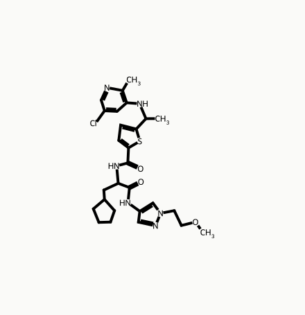 COCCn1cc(NC(=O)C(CC2CCCC2)NC(=O)c2ccc(C(C)Nc3cc(Cl)cnc3C)s2)cn1